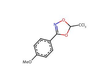 COc1ccc(C2=NOC(C(Cl)(Cl)Cl)O2)cc1